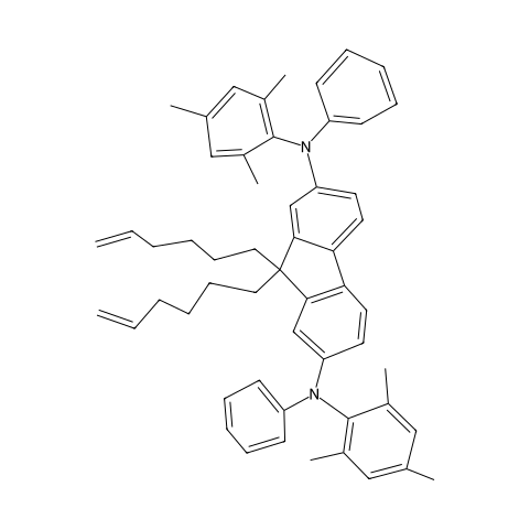 C=CCCCCC1(CCCCC=C)c2cc(N(c3ccccc3)c3c(C)cc(C)cc3C)ccc2-c2ccc(N(c3ccccc3)c3c(C)cc(C)cc3C)cc21